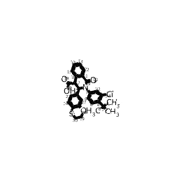 CC(C)(C)c1ccc(N2C(=O)c3ccccc3C(C(=O)O)C2c2ccc3c(c2)OCCS3)cc1Cl